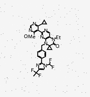 CCN1C(=O)C2(CC2)N(Cc2ccc(-c3nc(C(C)(F)F)cn3C(F)F)cc2)c2nc(-c3c(OC)ncnc3C3CC3)ncc21